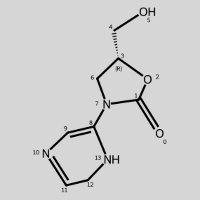 O=C1O[C@@H](CO)CN1C1=CN=CCN1